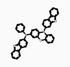 c1ccc(N(c2ccc3c(c2)Oc2ccccc2N3c2ccc3c(c2)oc2ccccc23)c2ccc3c(c2)oc2ccccc23)cc1